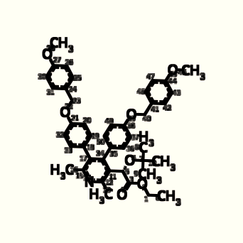 CCOC(=O)[C@@H](OC(C)(C)C)c1c(C)nc(C)c(-c2ccc(OCc3ccc(OC)cc3)cc2)c1-c1ccc(OCc2ccc(OC)cc2)cc1